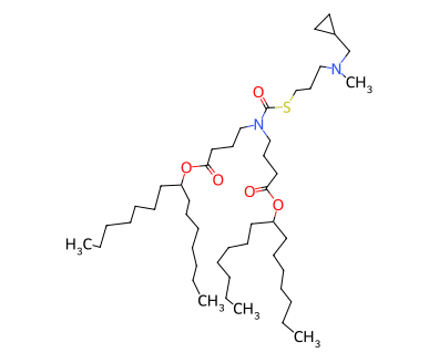 CCCCCCCC(CCCCCCC)OC(=O)CCCN(CCCC(=O)OC(CCCCCCC)CCCCCCC)C(=O)SCCCN(C)CC1CC1